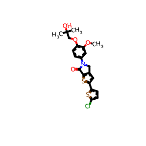 COc1cc(N2Cc3cc(-c4ccc(Cl)s4)sc3C2=O)ccc1OCC(C)(C)O